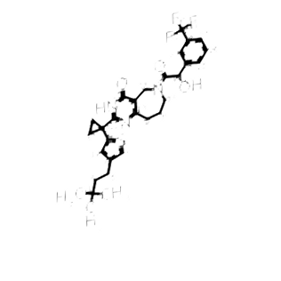 CC(C)(C)CCc1csc(C2(c3nc4c(c(=O)[nH]3)CN(C(=O)[C@H](O)c3cccc(C(F)(F)F)c3)CCC4)CC2)c1